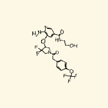 Nc1ncc(C(=O)NCCO)cc1OC1CN(C(=O)Cc2ccc(OC(F)(F)F)cc2)CC1(F)F